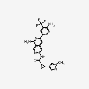 Cn1cc([C@@H]2C[C@H]2C(=O)Nc2cc3cc(-c4cnc(N)c(C(F)(F)F)c4)nc(N)c3cn2)cn1